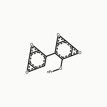 CCCOc1c(-c2cc3oc3c3oc23)c2oc2c2oc12